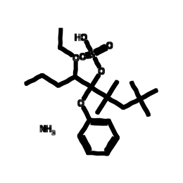 CCCC(OCC)C(Oc1ccccc1)(OS(=O)(=O)O)C(C)(C)CC(C)(C)C.N